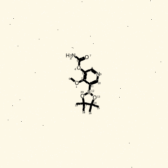 COc1c(OC(N)=O)cncc1B1OC(C)(C)C(C)(C)O1